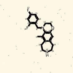 Cc1c2c(cc3c1N(Cc1ccc(F)cc1F)CCO3)CCNCC2